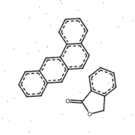 O=C1OCc2ccccc21.c1ccc2cc3c(ccc4ccccc43)cc2c1